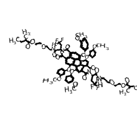 C=C(CC)C(=O)OCCOCCNC(=O)C(CC(F)(F)F)N1C(=O)c2cc(Oc3cccc(OC)c3)c3c4c(Oc5cccc(OC)c5)cc5c6c(cc(Oc7cccc(OC)c7)c(c7c(Oc8cccc(OC)c8)cc(c2c37)C1=O)c64)C(=O)N(C(CC(F)(F)F)C(=O)NCCOCCOC(=O)C(=C)CC)C5=O